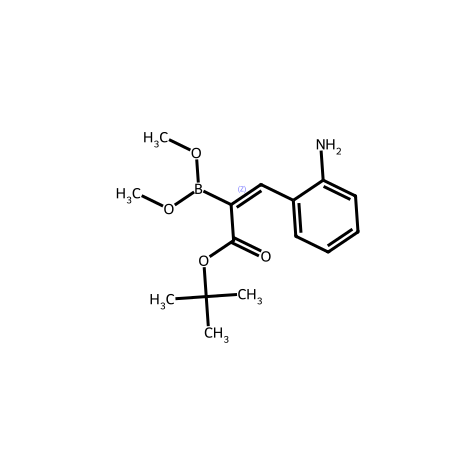 COB(OC)/C(=C/c1ccccc1N)C(=O)OC(C)(C)C